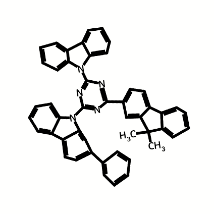 CC1(C)c2ccccc2-c2ccc(-c3nc(-n4c5ccccc5c5ccccc54)nc(-n4c5ccccc5c5ccc(-c6ccccc6)cc54)n3)cc21